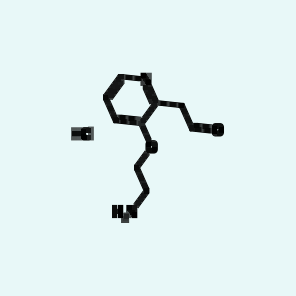 Cl.NCCOc1cccnc1CC=O